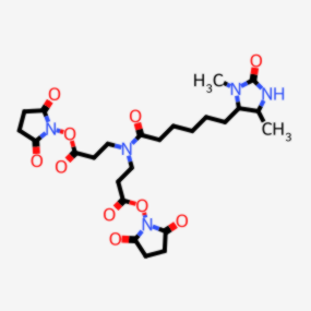 CC1NC(=O)N(C)C1CCCCCC(=O)N(CCC(=O)ON1C(=O)CCC1=O)CCC(=O)ON1C(=O)CCC1=O